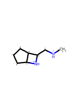 CNCC1NC2CCCC21